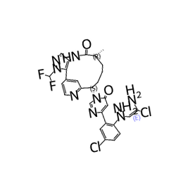 C[C@@H]1CCC[C@H](n2cnc(-c3cc(Cl)ccc3N(N)/C=C(\N)Cl)cc2=O)c2cc(ccn2)-c2c(cnn2C(F)F)NC1=O